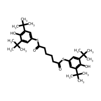 CC(C)(C)c1cc(SC(=O)CCCCC(=O)Sc2cc(C(C)(C)C)c(O)c(C(C)(C)C)c2)cc(C(C)(C)C)c1O